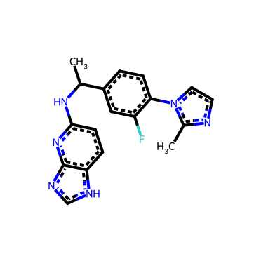 Cc1nccn1-c1ccc(C(C)Nc2ccc3[nH]cnc3n2)cc1F